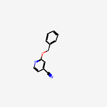 N#Cc1c[c]nc(OCc2ccccc2)c1